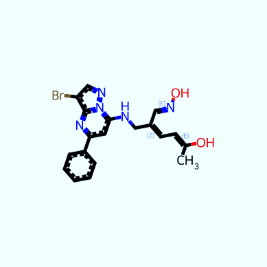 C\C(O)=C/C=C(\C=N\O)CNc1cc(-c2ccccc2)nc2c(Br)cnn12